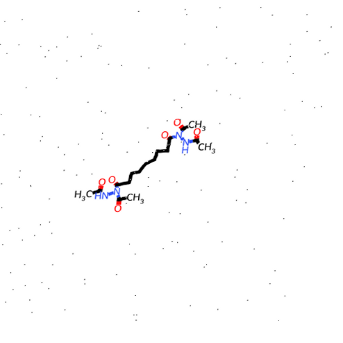 CC(=O)NN(C(C)=O)C(=O)CCCCCCCC(=O)N(NC(C)=O)C(C)=O